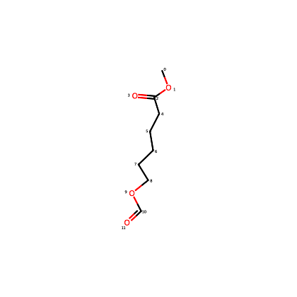 COC(=O)CCCCCOC=O